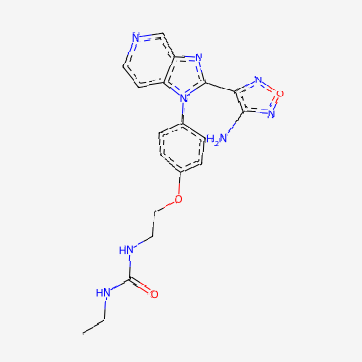 CCNC(=O)NCCOc1ccc(-n2c(-c3nonc3N)nc3cnccc32)cc1